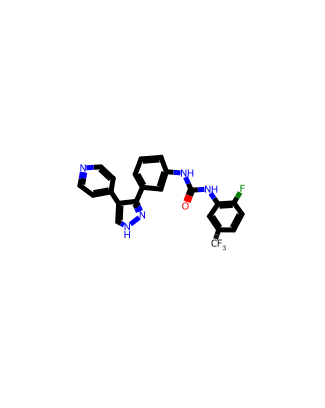 O=C(Nc1cccc(-c2n[nH]cc2-c2ccncc2)c1)Nc1cc(C(F)(F)F)ccc1F